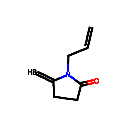 B=C1CCC(=O)N1CC=C